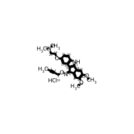 CC#CCON=C1c2cc(OC)c(OC)cc2-c2[nH]c3ccc(OCCN(C)C)cc3c21.Cl